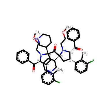 COCCN1[C@H](C(=O)c2ccccc2)[C@H](c2cccc(F)c2C)C[C@]1(C(=O)[C@]1(C2CCCNC2)C[C@@H](c2cccc(F)c2C)[C@@H](C(=O)c2ccccc2)N1CCOC)C1CCCNC1